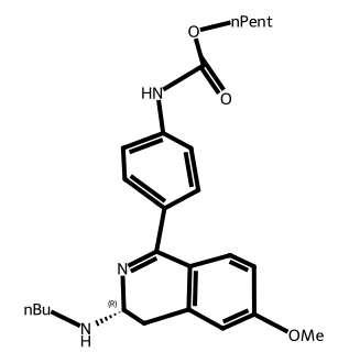 CCCCCOC(=O)Nc1ccc(C2=N[C@@H](NCCCC)Cc3cc(OC)ccc32)cc1